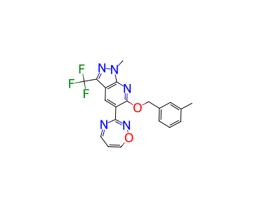 Cc1cccc(COc2nc3c(cc2C2=NOC=CC=N2)c(C(F)(F)F)nn3C)c1